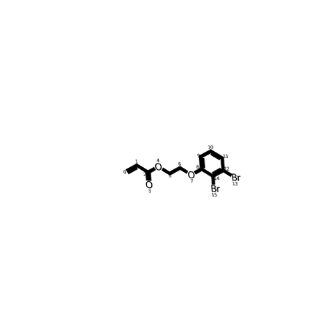 C=CC(=O)OCCOc1cccc(Br)c1Br